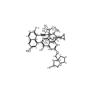 COc1nc(-c2cc(O)cc3ccc(F)c(C#C[Si](C(C)C)(C(C)C)C(C)C)c23)c(F)c2nc(OC[C@@]34CCCN3CC(F)C4)nc(NC3CC3)c12